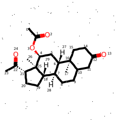 CC(=O)O[C@H]1C[C@H]2[C@@H](CCC3CC(=O)CC[C@@]32C)[C@@H]2CC[C@H](C(C)=O)[C@@]12C